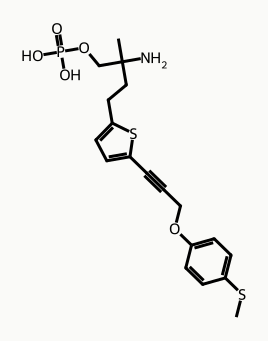 CSc1ccc(OCC#Cc2ccc(CCC(C)(N)COP(=O)(O)O)s2)cc1